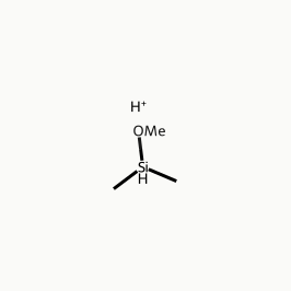 CO[SiH](C)C.[H+]